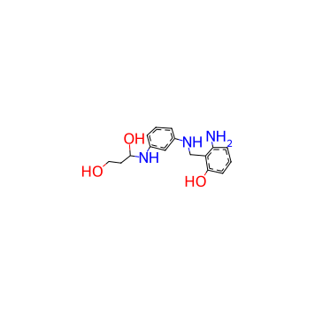 Nc1cccc(O)c1CNc1cccc(NC(O)CCO)c1